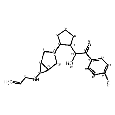 C=CCNC1C2CN(C3CCCC3C(O)C(=O)c3ccc(F)cc3)CC21